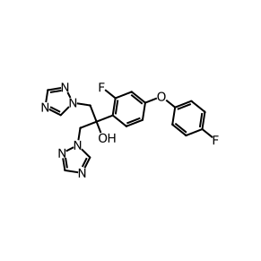 OC(Cn1cncn1)(Cn1cncn1)c1ccc(Oc2ccc(F)cc2)cc1F